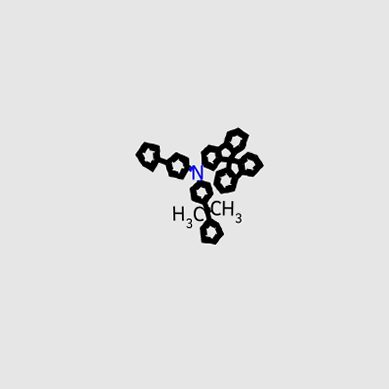 CC(C)(c1ccccc1)c1ccc(N(c2ccc(-c3ccccc3)cc2)c2ccc3c(c2)C2(c4ccccc4-c4ccccc42)c2ccccc2-3)cc1